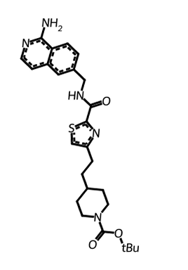 CC(C)(C)OC(=O)N1CCC(CCc2csc(C(=O)NCc3ccc4c(N)nccc4c3)n2)CC1